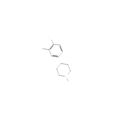 CCc1ccc([C@H]2CCN(C)C[C@H]2C(=O)O)cc1I